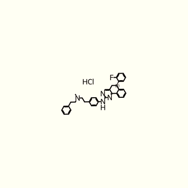 CN(CCc1ccccc1)CCc1ccc(Nc2ncc3c(n2)-c2ccccc2[C@H](c2ccccc2F)C3)cc1.Cl